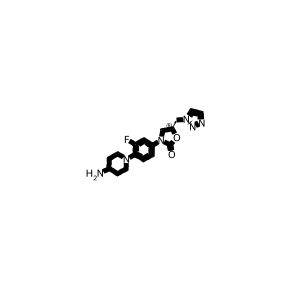 NC1CCN(c2ccc(N3C[C@H](Cn4ccnn4)OC3=O)cc2F)CC1